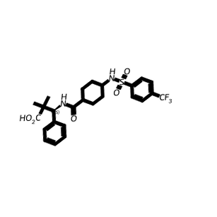 CC(C)(C(=O)O)[C@@H](NC(=O)C1CCC(NS(=O)(=O)c2ccc(C(F)(F)F)cc2)CC1)c1ccccc1